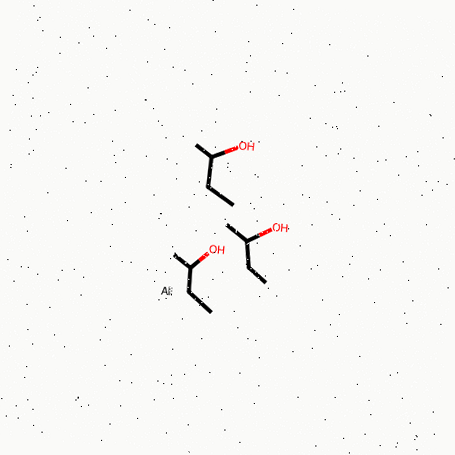 CCC(C)O.CCC(C)O.CCC(C)O.[Al]